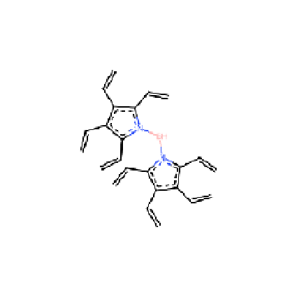 C=Cc1c(C=C)c(C=C)n(Bn2c(C=C)c(C=C)c(C=C)c2C=C)c1C=C